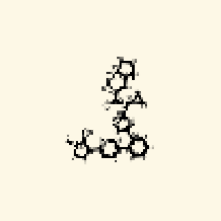 CN1CCC(c2ccc(-c3ccccc3-c3csc(N(C(=O)[C@@H](CC(=O)O)CC4CCCC4)C4CC4)n3)cn2)C1=O